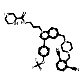 N#Cc1cccc(C#N)c1CN1CCN(Cc2ccc3c(c2)c(-c2ccc(OC(F)(F)F)cc2)cn3CCCNC(=O)C2CNCCN2)CC1